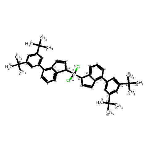 CC(C)(C)c1cc(-c2cccc3c2C=C[CH]3[Zr]([Cl])([Cl])[CH]2C=Cc3c(-c4cc(C(C)(C)C)cc(C(C)(C)C)c4)cccc32)cc(C(C)(C)C)c1